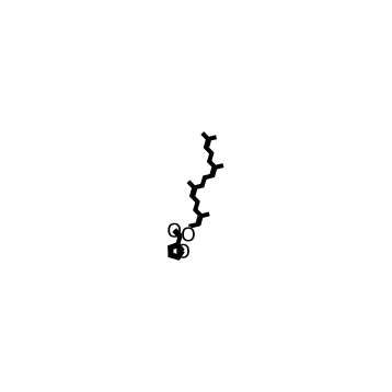 CC(C)=CCCC(C)=CCCC(C)=CCCC(C)=CCOC(=O)c1ccco1